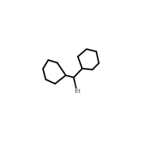 CCC(C1[CH]CCCC1)C1[CH]CCCC1